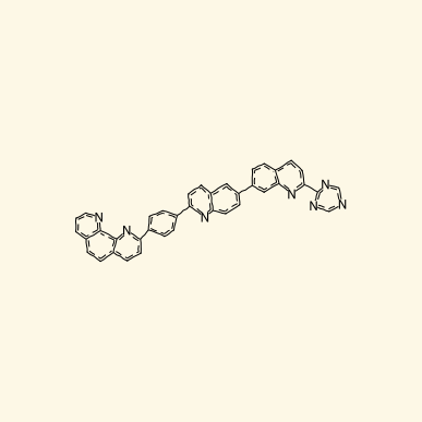 c1cnc2c(c1)ccc1ccc(-c3ccc(-c4ccc5cc(-c6ccc7ccc(-c8ncncn8)nc7c6)ccc5n4)cc3)nc12